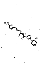 O=C(N/N=C/c1ccc([N+](=O)[O-])o1)NC(=O)c1csc(-c2ccccc2O)n1